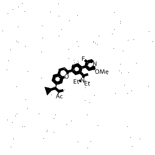 CCN(CC)C(C)c1cc(C2CCc3ccc([C@H](C4CC4)[C@H](C)C(C)=O)cc3O2)ccc1-c1cc(OC)ncc1F